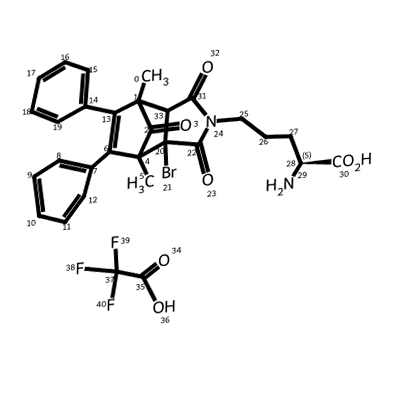 CC12C(=O)C(C)(C(c3ccccc3)=C1c1ccccc1)C1(Br)C(=O)N(CCC[C@H](N)C(=O)O)C(=O)C21.O=C(O)C(F)(F)F